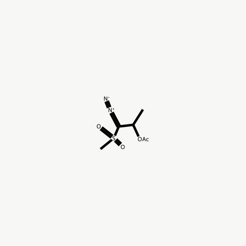 CC(=O)OC(C)C(=[N+]=[N-])S(C)(=O)=O